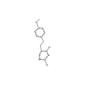 COc1ccc(CSc2cnc(Cl)nc2Cl)cc1